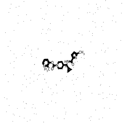 Cc1ccc(C(=O)N[C@H](C2CC2)C2CCN(C(=O)Oc3cccnc3C)CC2)s1